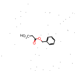 O=C(O)CC(=O)O[CH]c1ccccc1